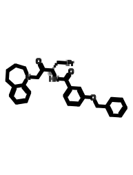 CC(C)C[C@H](NC(=O)c1cccc(OCc2ccccc2)c1)C(=O)CN1CCCCc2ccccc21